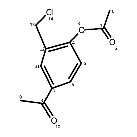 CC(=O)Oc1ccc(C(C)=O)cc1CCl